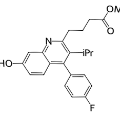 COC(=O)CCCc1nc2cc(O)ccc2c(-c2ccc(F)cc2)c1C(C)C